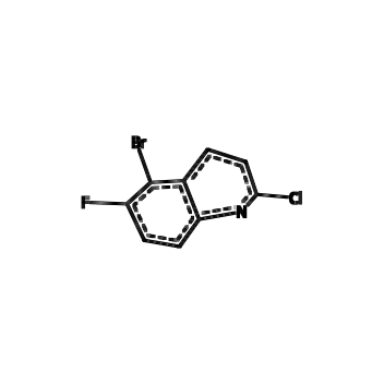 Fc1ccc2nc(Cl)ccc2c1Br